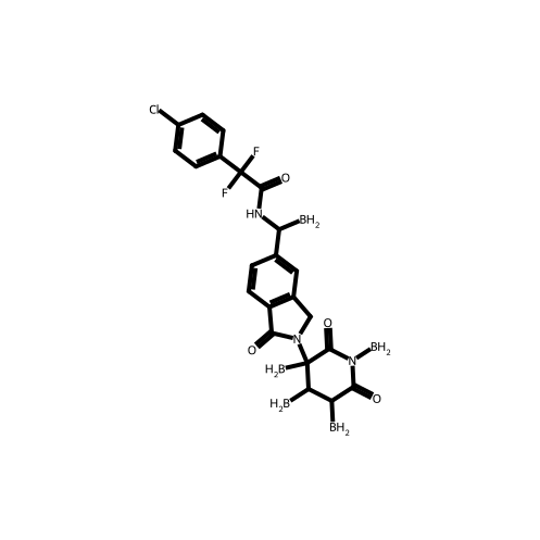 BC(NC(=O)C(F)(F)c1ccc(Cl)cc1)c1ccc2c(c1)CN(C1(B)C(=O)N(B)C(=O)C(B)C1B)C2=O